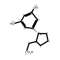 O=C(O)CC1CCC[C@H]1c1cc(O)cc(O)c1